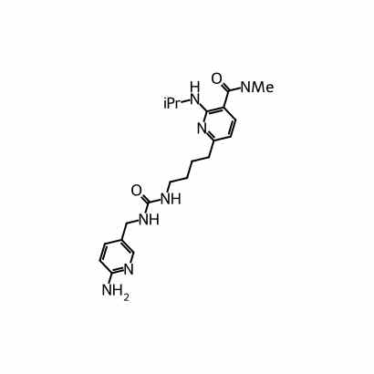 CNC(=O)c1ccc(CCCCNC(=O)NCc2ccc(N)nc2)nc1NC(C)C